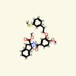 COC(=O)C1(NC(=O)c2ccc(OC)c(OCCc3cccc(SC)c3)c2)Cc2ccccc2C1